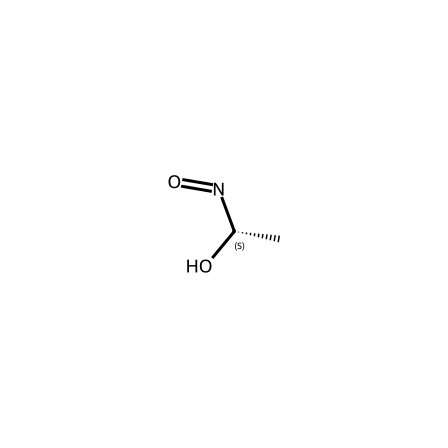 C[C@H](O)N=O